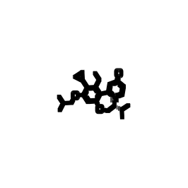 CCc1c2c(cc(OCC(C)C)c1C1CC1)OC[C@@H](C(C)C)n1ccc(=O)cc1-2